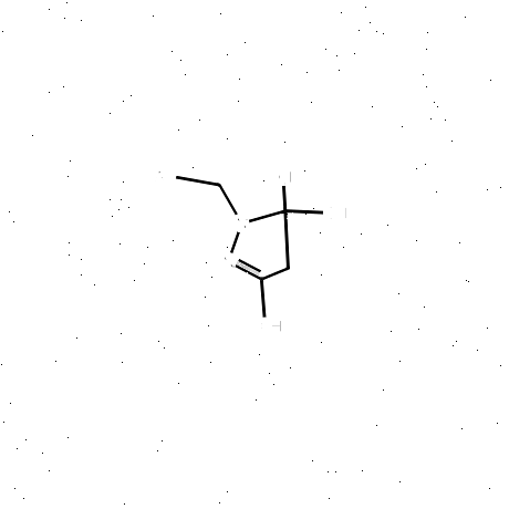 CC(=O)CN1N=C(C)CC1(C)C